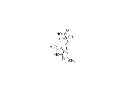 CCCC(CCC)(CCCC(C)(C)C(=O)O)C(=O)O